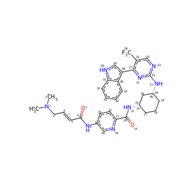 CN(C)C/C=C/C(=O)Nc1ccc(C(=O)N[C@H]2CCC[C@@H](Nc3ncc(C(F)(F)F)c(-c4c[nH]c5ccccc45)n3)C2)nc1